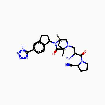 N#CC1CCCN1C(=O)C(N)CN1C[C@@H]2C[C@H]1C(=O)N2C1CCc2cc(-c3nnn[nH]3)ccc21